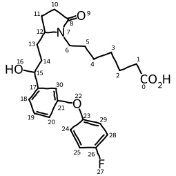 O=C(O)CCCCCCN1C(=O)CCC1CCC(O)c1cccc(Oc2ccc(F)cc2)c1